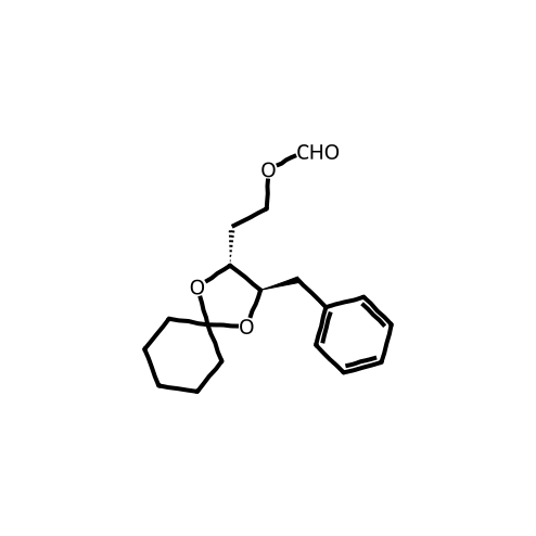 O=COCC[C@H]1OC2(CCCCC2)O[C@@H]1Cc1ccccc1